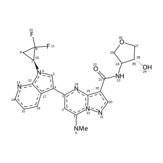 CNc1cc(-c2cn([C@H]3CC3(F)F)c3ncccc23)nc2c(C(=O)NC3COC[C@@H]3O)cnn12